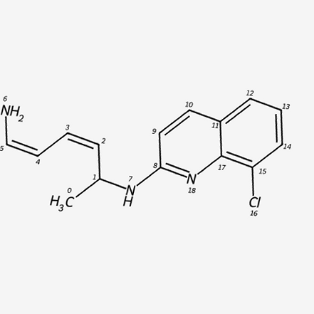 CC(/C=C\C=C/N)Nc1ccc2cccc(Cl)c2n1